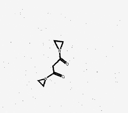 O=C(CC(=O)N1CC1)N1CC1